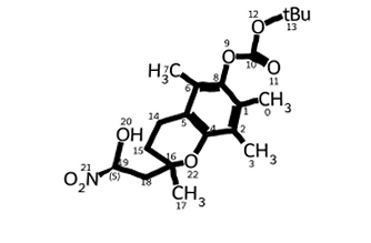 Cc1c(C)c2c(c(C)c1OC(=O)OC(C)(C)C)CCC(C)(C[C@H](O)[N+](=O)[O-])O2